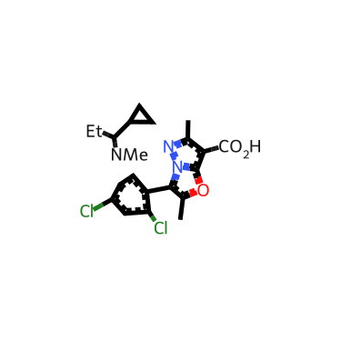 CCC(NC)C1CC1.Cc1nn2c(-c3ccc(Cl)cc3Cl)c(C)oc2c1C(=O)O